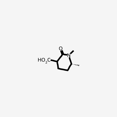 C[C@@H]1CCC(C(=O)O)C(=O)N1C